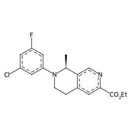 CCOC(=O)c1cc2c(cn1)[C@H](C)N(c1cc(F)cc(Cl)c1)CC2